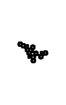 c1ccc(N(c2ccc(-c3cccc4c3oc3ccccc34)cc2)c2cccc3oc4c5ccccc5ccc4c23)c(-c2cccc3c2oc2cc4ccccc4cc23)c1